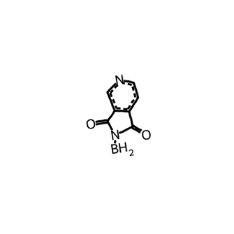 BN1C(=O)c2ccncc2C1=O